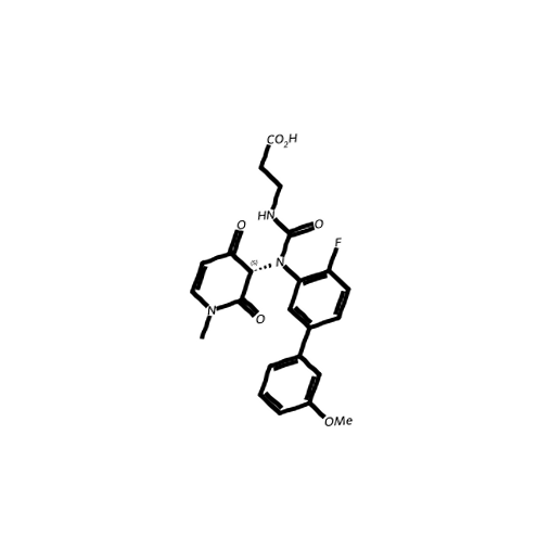 COc1cccc(-c2ccc(F)c(N(C(=O)NCCC(=O)O)[C@H]3C(=O)C=CN(C)C3=O)c2)c1